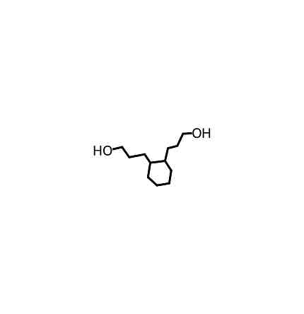 OCCCC1CCCCC1CCCO